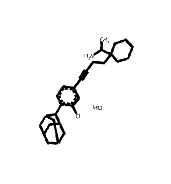 CC(N)C1(CCC#Cc2ccc(C3C4CC5CC(C4)CC3C5)c(Cl)c2)CCCCC1.Cl